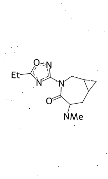 CCc1nc(N2CC3CC3CC(NC)C2=O)no1